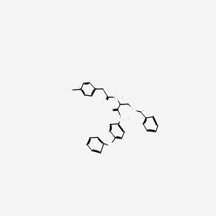 O=C(Cc1ccc(Br)cc1)NC(COCc1ccccc1)C(=O)Nc1ccc(Oc2ccccc2)cc1